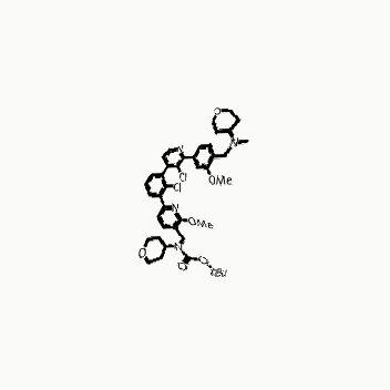 COc1cc(-c2nccc(-c3cccc(-c4ccc(CN(C(=O)OC(C)(C)C)C5CCOCC5)c(OC)n4)c3Cl)c2Cl)ccc1CN(C)C1CCOCC1